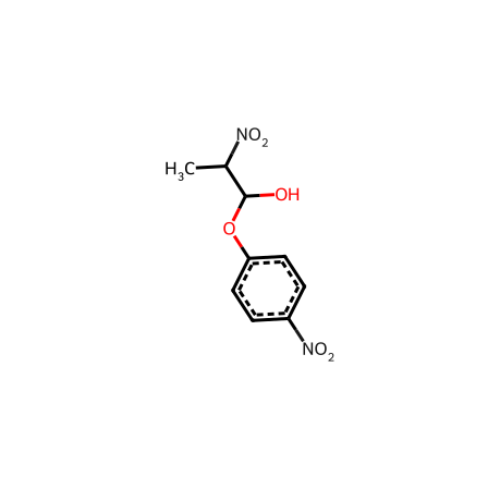 CC(C(O)Oc1ccc([N+](=O)[O-])cc1)[N+](=O)[O-]